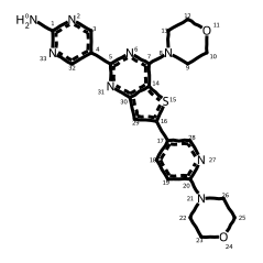 Nc1ncc(-c2nc(N3CCOCC3)c3sc(-c4ccc(N5CCOCC5)nc4)cc3n2)cn1